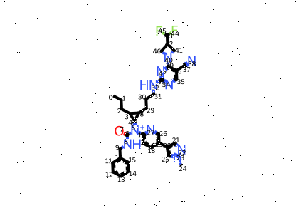 CCCC1C(=[N+](C(=O)NCc2ccccc2)c2ccc(-c3cnn(C)c3)cn2)C1CCCNc1ncc(C#N)c(N2CC(C(F)F)C2)n1